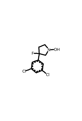 ON1CCC(F)(c2cc(Cl)cc(Cl)c2)C1